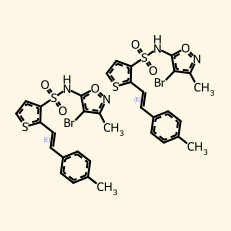 Cc1ccc(/C=C/c2sccc2S(=O)(=O)Nc2onc(C)c2Br)cc1.Cc1ccc(/C=C/c2sccc2S(=O)(=O)Nc2onc(C)c2Br)cc1